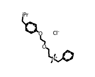 CC(C)Cc1ccc(OCCOCC[N+](C)(C)Cc2ccccc2)cc1.[Cl-]